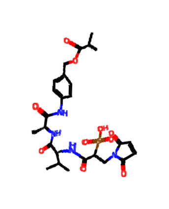 CC(C)C(=O)OCc1ccc(NC(=O)[C@H](C)NC(=O)[C@@H](NC(=O)C(CN2C(=O)C=CC2=O)S(=O)(=O)O)C(C)C)cc1